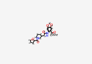 COC(=O)c1cc2c(cc1NC(=O)CC1CCCN(C(=O)C3CCCO3)C1)OCO2